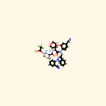 CN[C@@H](C)C(=O)N[C@@H]1C(=O)N(Cc2nn(-c3ccccc3C#N)c3ccccc23)c2ccc(C#N)cc2OC12CCOCC2.O=C(O)C(F)(F)F